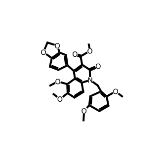 COC(=O)c1c(-c2ccc3c(c2)OCO3)c2c(OC)c(OC)ccc2n(Cc2cc(OC)ccc2OC)c1=O